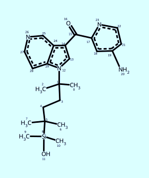 CC(C)(CCC(C)(C)[Si](C)(C)O)n1cc(C(=O)c2cc(N)ccn2)c2cnccc21